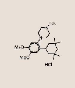 CCCCN1CCN(c2cc(OC)c(OC)cc2C2CC(C)(C)CC(C)(C)C2)CC1.Cl